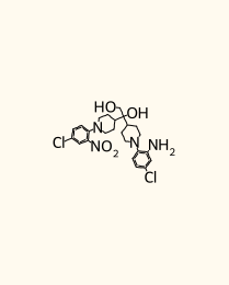 Nc1cc(Cl)ccc1N1CCC(C(O)(CO)C2CCN(c3ccc(Cl)cc3[N+](=O)[O-])CC2)CC1